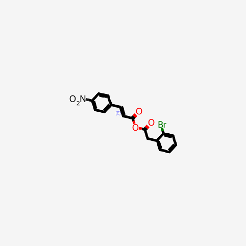 O=C(/C=C/c1ccc([N+](=O)[O-])cc1)OC(=O)Cc1ccccc1Br